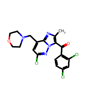 Cc1nc2c(CN3CCOCC3)cc(Cl)nn2c1C(=O)c1ccc(Cl)cc1Cl